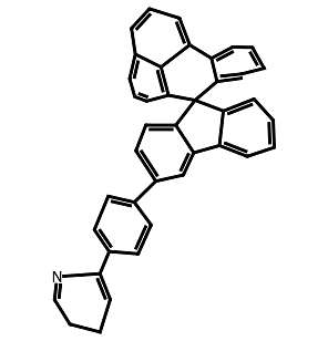 C1=NC(c2ccc(-c3ccc4c(c3)-c3ccccc3C43c4ccccc4-c4cccc5cccc3c45)cc2)=CCC1